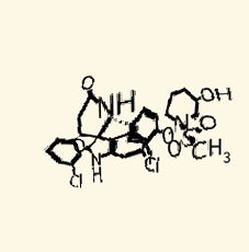 CS(=O)(=O)[N@@+]1(Oc2ccc([C@H]3NC(=O)C[C@@H](c4cccc(Cl)c4)[C@]34C(=O)Nc3cc(Cl)ccc34)cc2I)CCC[C@@H](O)C1